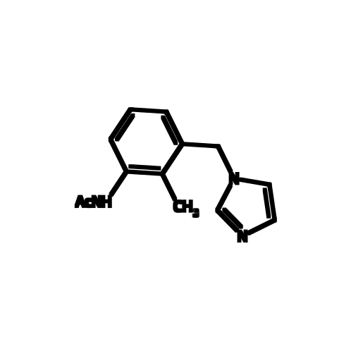 CC(=O)Nc1cccc(Cn2ccnc2)c1C